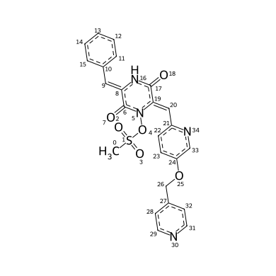 CS(=O)(=O)On1c(=O)c(=Cc2ccccc2)[nH]c(=O)c1=Cc1ccc(OCc2ccncc2)cn1